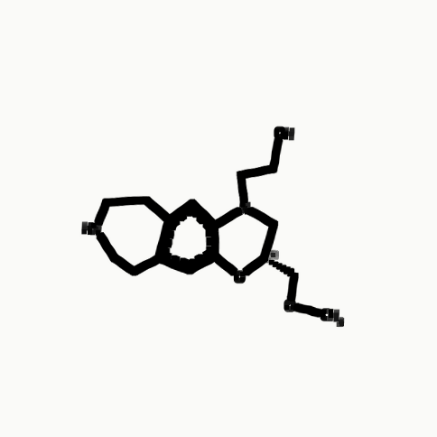 COC[C@H]1CN(CCO)c2cc3c(cc2O1)CCNCC3